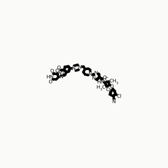 CC1(C)[C@H](NC(=O)c2cnc(N3CCCC(CN4CCN(c5ccc6c(=O)n([C@@]7(C)CCC(=O)NC7=O)ncc6c5)CC4)CC3)nc2)C(C)(C)[C@H]1Oc1ccc(C#N)c(Cl)c1